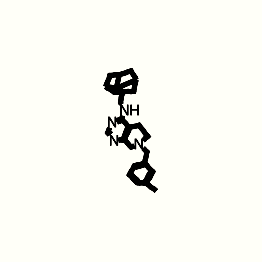 Cc1cccc(CN2CCc3c(ncnc3NCC34CC5CC(CC(C5)C3)C4)C2)c1